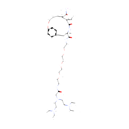 CC(C)C[C@H]1C(=O)N[C@H](C(=O)NCCOCCOCCOCCNC(=O)CN(CCN(CC(=O)O)CC(=O)O)CCN(CC(=O)O)CC(=O)O)Cc2ccc(cc2)OCCC[C@@H]1C(=O)NO